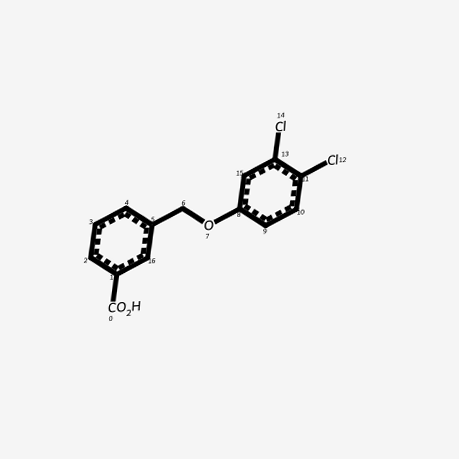 O=C(O)c1cccc(COc2ccc(Cl)c(Cl)c2)c1